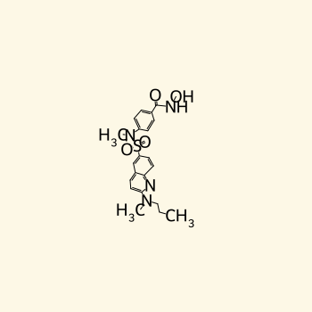 CCCN(C)c1ccc2cc(S(=O)(=O)N(C)c3ccc(C(=O)NO)cc3)ccc2n1